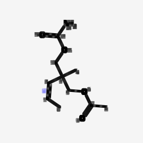 C/C=C\C(C)(COC(C)=O)COC(N)=O